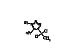 CCCc1c(C(Cl)(Cl)C(Cl)(Cl)Cl)nnn1CC